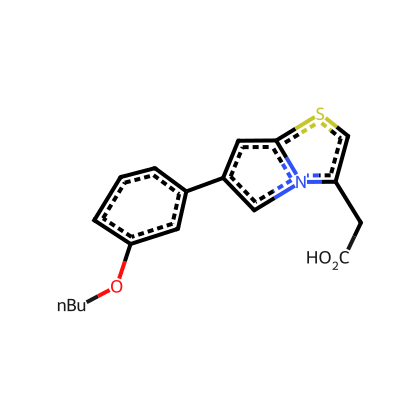 CCCCOc1cccc(-c2cc3scc(CC(=O)O)n3c2)c1